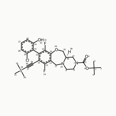 CC(C)(C)OC(=O)N1CCN2Cc3c(F)c(C#CS(C)(C)C)c(-c4c(O)cccc4Cl)c(F)c3OC[C@H]2C1